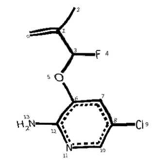 C=C(C)C(F)Oc1cc(Cl)cnc1N